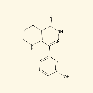 O=c1[nH]nc(-c2cccc(O)c2)c2c1CCCN2